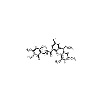 CCN(c1cc(F)cc(C(=O)NCc2c(C)cc(C)n(C)c2=O)c1C)C1CC(C)N[C@H](C)C1